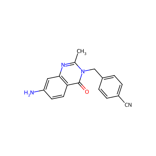 Cc1nc2cc(N)ccc2c(=O)n1Cc1ccc(C#N)cc1